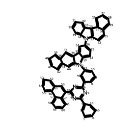 c1ccc(-c2nc(-c3cccc(-n4c5ccc(-n6c7ccccc7c7c8ccccc8ccc76)cc5c5cc6ccccc6cc54)c3)nc(-c3cc4ccccc4c4ccccc34)n2)cc1